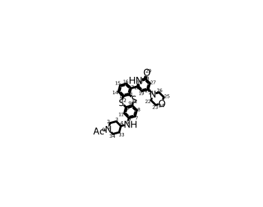 CC(=O)N1CCC(Nc2ccc3c(c2)Sc2cccc(-c4cc(N5CCOCC5)cc(=O)[nH]4)c2S3)CC1